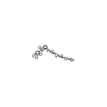 O=C1CCC(N2Cc3c(SCCOCCOCCOCCOCCBr)cccc3C2=O)C(=O)N1